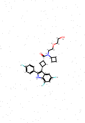 O=C([C@H]1C[C@H](c2c(-c3ccc(F)cc3)[nH]c3c(F)cc(F)cc32)C1)N(CCOCCO)C1CCC1